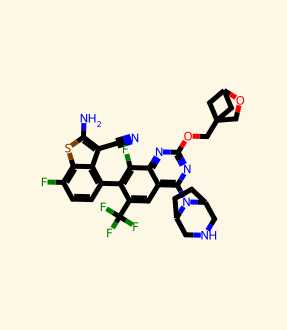 N#Cc1c(N)sc2c(F)ccc(-c3c(C(F)(F)F)cc4c(N5C6CCC5CNC6)nc(OCC56COC(C5)C6)nc4c3F)c12